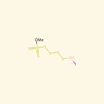 COS(=S)(=S)SSSSBI